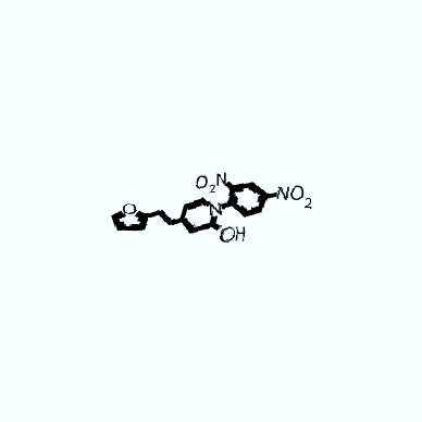 O=[N+]([O-])c1ccc(N2C=CC(C=Cc3ccco3)=CC2O)c([N+](=O)[O-])c1